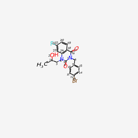 CC(O)Cn1c(=O)n(Cc2ccc(Br)cc2)c(=O)c2ccc(F)cc21